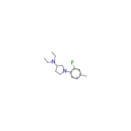 CCN(CC)C1CCN(c2ccc(C)cc2F)C1